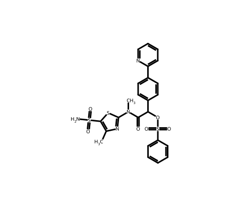 Cc1nc(N(C)C(=O)C(OS(=O)(=O)c2ccccc2)c2ccc(-c3ccccn3)cc2)sc1S(N)(=O)=O